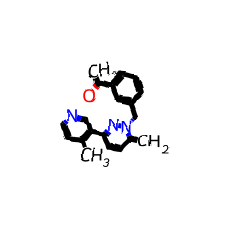 C=C1C=CC(c2cnccc2C)=NN1Cc1cccc(C(C)=O)c1